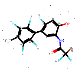 O=C(Nc1cc(-c2c(F)c(F)c(C(F)(F)F)c(F)c2F)c(F)cc1O)C(F)(F)Br